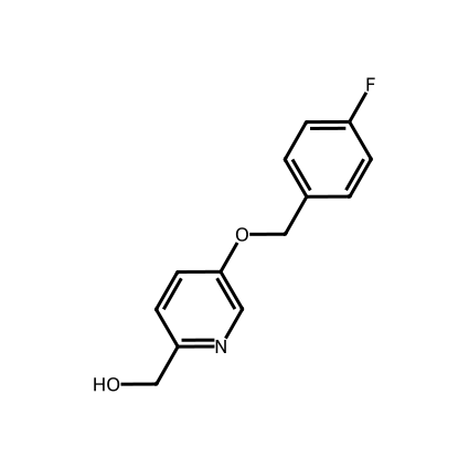 OCc1ccc(OCc2ccc(F)cc2)cn1